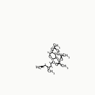 C#CCN(C)CCO[C@@H]1OC[C@@H](OC(C)=O)[C@H](OC(C)=O)[C@H]1OC(C)=O